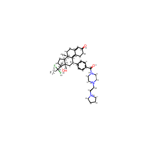 C[C@]12C[C@H](c3ccc(C(=O)N4CCN(CCN5CCCC5)CC4)cc3)C3=C4CCC(=O)C=C4CC[C@H]3[C@@H]1CC[C@]2(O)C(F)(F)C(F)(F)F